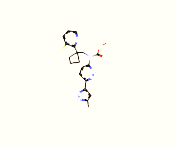 CC(C)(C)OC(=O)N(CC1(c2ncccc2F)CCC1)c1ccc(-c2cc(C(=O)O)n[nH]2)nn1